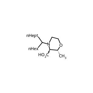 CCCCCCCC(CCCCCC)N1CCO[C@H](C)[C@H]1C(=O)O